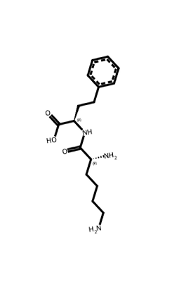 NCCCC[C@@H](N)C(=O)N[C@H](CCc1ccccc1)C(=O)O